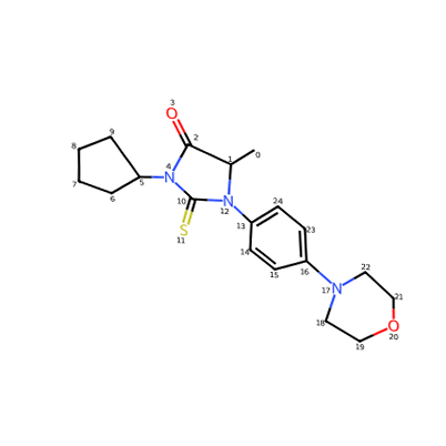 CC1C(=O)N(C2CCCC2)C(=S)N1c1ccc(N2CCOCC2)cc1